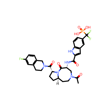 CC(=O)N1CC[C@H]2CC[C@H](C(=O)N3CCc4cc(F)ccc4C3)N2C(=O)[C@H](NC(=O)c2cc3cc(C(F)(F)P(=O)(O)O)ccc3[nH]2)C1